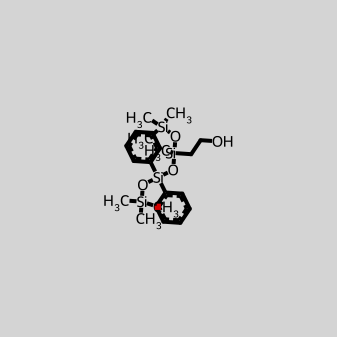 C[Si](C)(C)O[Si](C)(CCO)O[Si](O[Si](C)(C)C)(c1ccccc1)c1ccccc1